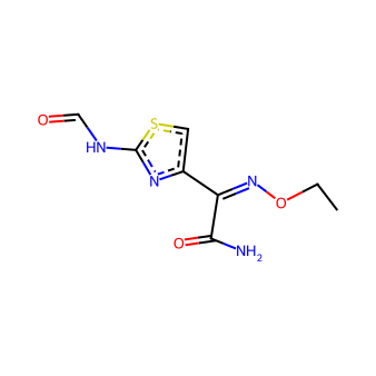 CCON=C(C(N)=O)c1csc(NC=O)n1